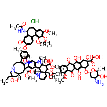 CC[C@]1(O)C[C@@H]2C[N@@](CCc3c([nH]c4ccccc34)[C@@](C(=O)OC)(c3cc4c(cc3OC)N(C)[C@H]3[C@@](O)(C(=O)OC)[C@H](OC(C)=O)[C@]5(CC)C=CCN6CC[C@]43[C@@H]65)C2)C1.COc1cc2c(c(OC)c1OC)-c1ccc(OC)c(=O)cc1[C@@H](NC(C)=O)CC2.COc1cccc2c1C(=O)c1c(O)c3c(c(O)c1C2=O)C[C@@](O)(C(=O)CO)C[C@@H]3O[C@H]1C[C@H](N)[C@H](O)[C@H](C)O1.Cl